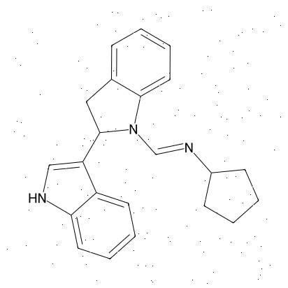 C(=NC1CCCC1)N1c2ccccc2CC1c1c[nH]c2ccccc12